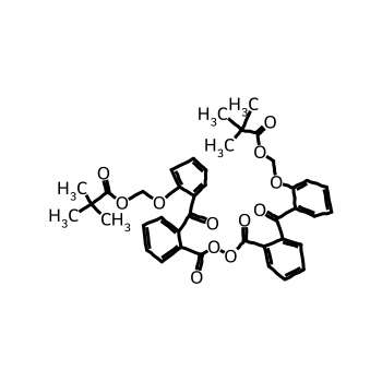 CC(C)(C)C(=O)OCOc1ccccc1C(=O)c1ccccc1C(=O)OOC(=O)c1ccccc1C(=O)c1ccccc1OCOC(=O)C(C)(C)C